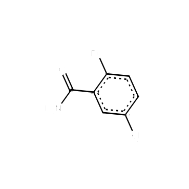 CCc1ccc(Cl)cc1C(N)=O